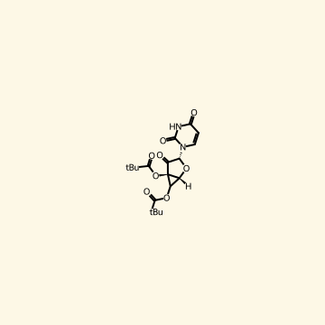 CC(C)(C)C(=O)OC1[C@H]2O[C@@H](n3ccc(=O)[nH]c3=O)C(=O)[C@@]12OC(=O)C(C)(C)C